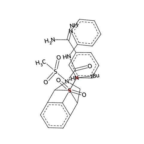 CC(C)(C)NS(=O)(=O)c1c2cccc1C1C(c3cccc(C(=N)N)c3)C2C[N+]1(C(=O)Nc1ccccn1)S(C)(=O)=O